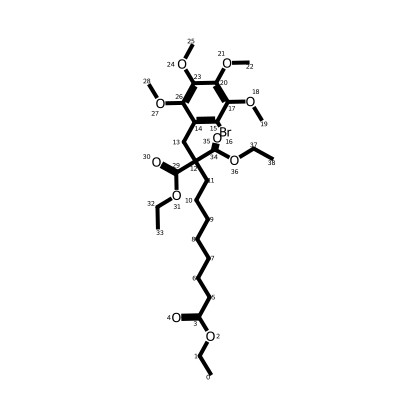 CCOC(=O)CCCCCCCC(Cc1c(Br)c(OC)c(OC)c(OC)c1OC)(C(=O)OCC)C(=O)OCC